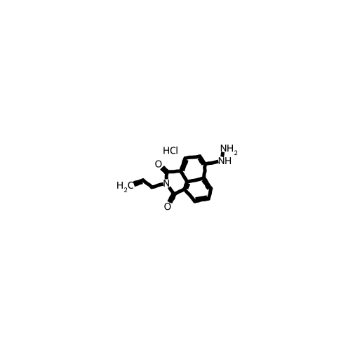 C=CCN1C(=O)c2cccc3c(NN)ccc(c23)C1=O.Cl